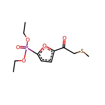 CCOP(=O)(OCC)c1ccc(C(=O)CSC)o1